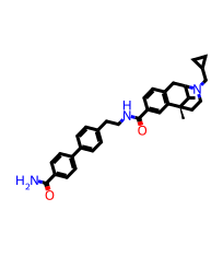 CC1C2Cc3ccc(C(=O)NCCc4ccc(-c5ccc(C(N)=O)cc5)cc4)cc3[C@@]1(C)CCN2CC1CC1